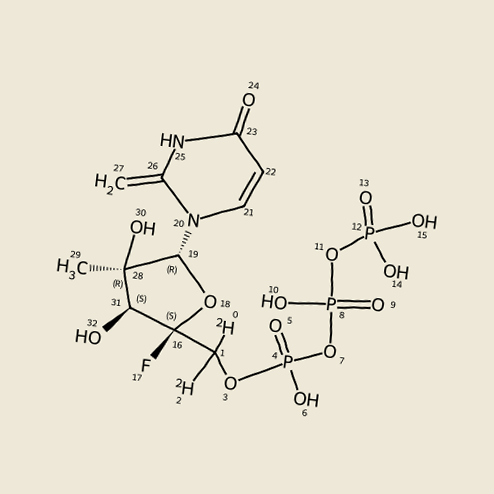 [2H]C([2H])(OP(=O)(O)OP(=O)(O)OP(=O)(O)O)[C@@]1(F)O[C@@H](N2C=CC(=O)NC2=C)[C@](C)(O)[C@@H]1O